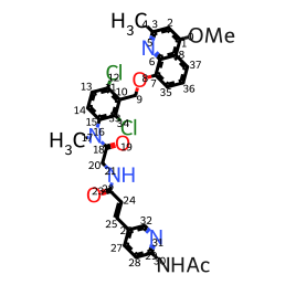 COc1cc(C)nc2c(OCc3c(Cl)ccc(N(C)C(=O)CNC(=O)C=Cc4ccc(NC(C)=O)nc4)c3Cl)cccc12